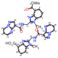 COC(=O)c1cccc2c1nc(CNC(=O)c1cnn3cccnc13)n2C.Cn1c(CNC(=O)c2cnn3cccnc23)nc2c(C(=O)O)cccc21